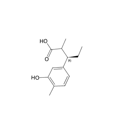 CC[C@@H](c1ccc(C)c(O)c1)C(C)C(=O)O